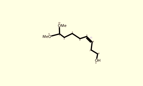 COC(CCC/C=C\CCO)OC